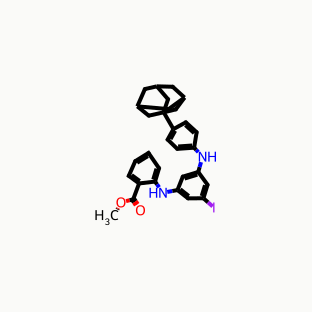 COC(=O)c1ccccc1Nc1cc(I)cc(Nc2ccc(C34CC5CC(CC(C5)C3)C4)cc2)c1